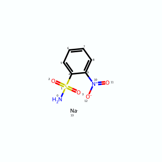 NS(=O)(=O)c1ccccc1[N+](=O)[O-].[Na]